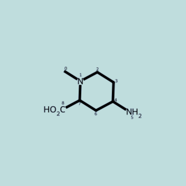 CN1CCC(N)CC1C(=O)O